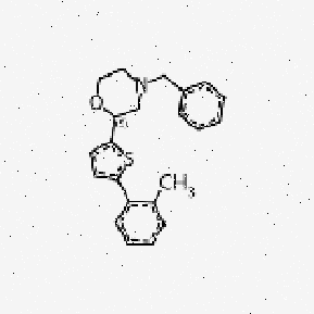 Cc1ccccc1-c1ccc([C@@H]2CN(Cc3ccccc3)CCO2)s1